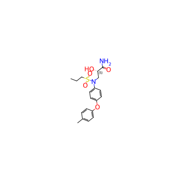 CCCS(=O)(=O)N(C[C@H](O)C(N)=O)c1ccc(Oc2ccc(C)cc2)cc1